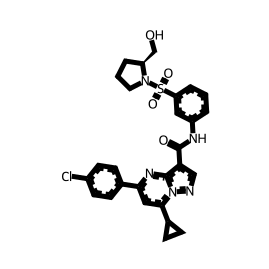 O=C(Nc1cccc(S(=O)(=O)N2CCC[C@H]2CO)c1)c1cnn2c(C3CC3)cc(-c3ccc(Cl)cc3)nc12